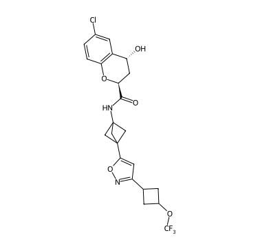 O=C(NC12CC(c3cc(C4CC(OC(F)(F)F)C4)no3)(C1)C2)[C@@H]1C[C@@H](O)c2cc(Cl)ccc2O1